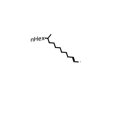 [CH2]/C=C/CCCCCCCC(C)CCCCC[CH2]